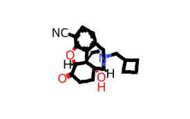 N#Cc1ccc2c3c1O[C@H]1C(=O)CC[C@@]4(O)[C@@H](C2)N(CC2CCC2)CC[C@]314